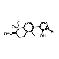 CCn1ncc(-c2ccc3c(c2C)CCC(=C=O)S3(=O)=O)c1O